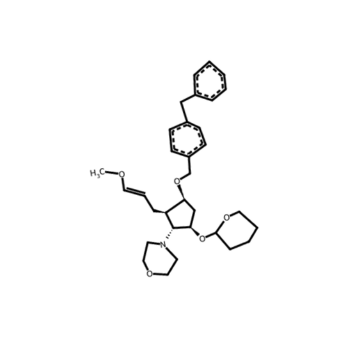 COC=CC[C@@H]1[C@@H](N2CCOCC2)[C@H](OC2CCCCO2)C[C@@H]1OCc1ccc(Cc2ccccc2)cc1